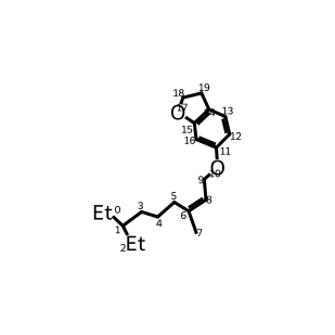 CCC(CC)CCCC(C)=CCOc1ccc2c(c1)OCC2